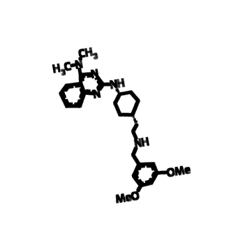 COc1cc(CNCC[C@H]2CC[C@@H](Nc3nc(N(C)C)c4ccccc4n3)CC2)cc(OC)c1